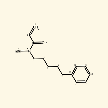 C=CC(=O)N(CCCC)CCCCCc1ccccc1